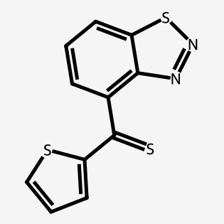 S=C(c1cccs1)c1cccc2snnc12